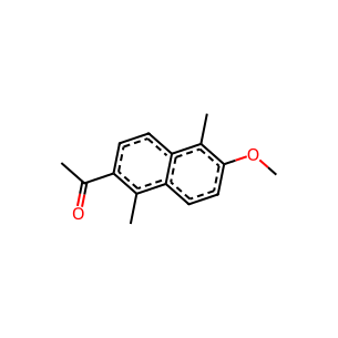 COc1ccc2c(C)c(C(C)=O)ccc2c1C